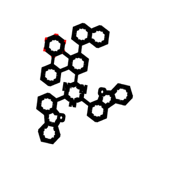 c1ccc(-c2ccccc2-c2c(-c3nc(-c4cccc5c4oc4ccccc45)nc(-c4cccc5c4oc4ccccc45)n3)ccc(-c3cccc4ccccc34)c2-c2ccccc2)cc1